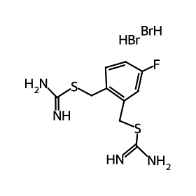 Br.Br.N=C(N)SCc1ccc(F)cc1CSC(=N)N